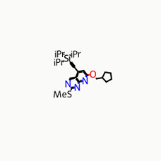 CSc1ncc2c(C#C[Si](C(C)C)(C(C)C)C(C)C)cc(OCC3CCCC3)nc2n1